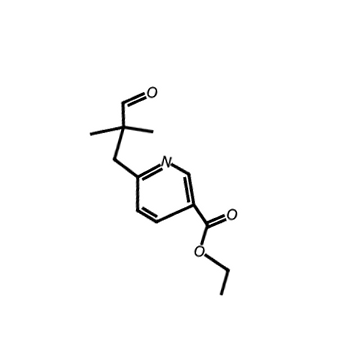 CCOC(=O)c1ccc(CC(C)(C)C=O)nc1